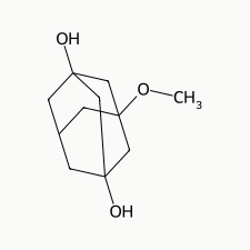 COC12CC3CC(O)(CC(O)(C3)C1)C2